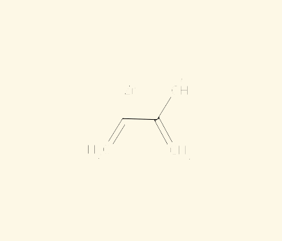 C=CC(=C)C.[Zr]